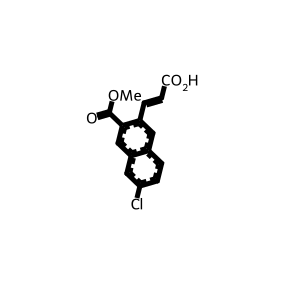 COC(=O)c1cc2cc(Cl)ccc2cc1C=CC(=O)O